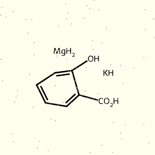 O=C(O)c1ccccc1O.[KH].[MgH2]